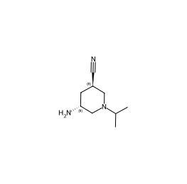 CC(C)N1C[C@H](N)C[C@@H](C#N)C1